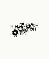 CCCC1=Nc2c(ncn2[C@@H]2O[C@H](CO)C(O)C2O)C(N)N1c1ccccc1